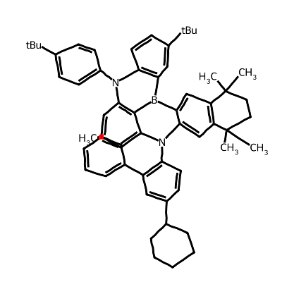 Cc1cc2c3c(c1)N(c1ccc(C4CCCCC4)cc1-c1ccccc1)c1cc4c(cc1B3c1cc(C(C)(C)C)ccc1N2c1ccc(C(C)(C)C)cc1)C(C)(C)CCC4(C)C